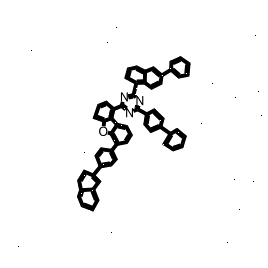 c1ccc(-c2ccc(-c3nc(-c4cccc5cc(-c6ccccc6)ccc45)nc(-c4cccc5oc6c(-c7ccc(-c8ccc9ccccc9c8)cc7)cccc6c45)n3)cc2)cc1